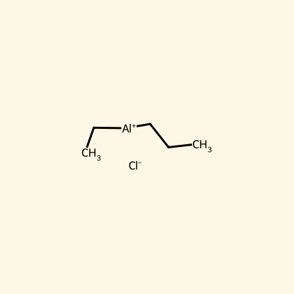 CC[CH2][Al+][CH2]C.[Cl-]